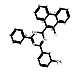 CC1C=CC=C(C2=NC(c3c(Br)c4ccccc4c4ccccc34)NC(c3ccccc3)=N2)C1